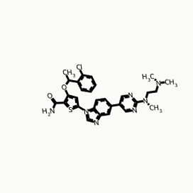 CC(Oc1cc(-n2cnc3cc(-c4cnc(N(C)CCN(C)C)nc4)ccc32)sc1C(N)=O)c1ccccc1Cl